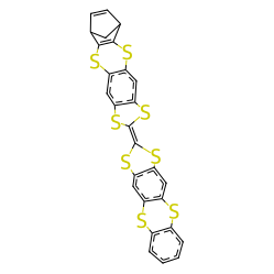 C1=CC2CC1C1=C2Sc2cc3c(cc2S1)SC(=C1Sc2cc4c(cc2S1)Sc1ccccc1S4)S3